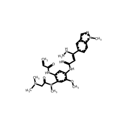 C=CC(=O)Nc1cc(NC(=N)/C=C(\NN)c2ccc3c(cnn3C)c2)c(OC)cc1N(C)C(=O)CN(C)C